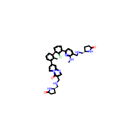 CNc1nc(-c2cccc(-c3cccc(-c4ccn5c(=O)c(CNC[C@H]6CCC(=O)N6)cnc5c4)c3C)c2Cl)ccc1CNC[C@@H]1CCC(=O)N1